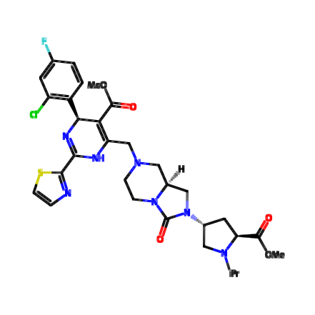 COC(=O)C1=C(CN2CCN3C(=O)N([C@@H]4C[C@@H](C(=O)OC)N(C(C)C)C4)C[C@@H]3C2)NC(c2nccs2)=N[C@H]1c1ccc(F)cc1Cl